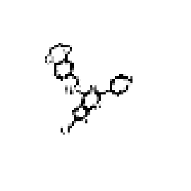 Clc1cc2c(NCc3ccc4c(c3)OCCO4)nc(-c3ccncc3)nc2s1